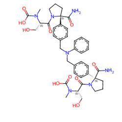 CN(C(=O)O)[C@@H](CO)C(=O)N1CCC[C@@]1(C(N)=O)c1ccc(CN(Cc2ccc([C@]3(C(N)=O)CCCN3C(=O)[C@H](CO)N(C)C(=O)O)cc2)c2ccccc2)cc1